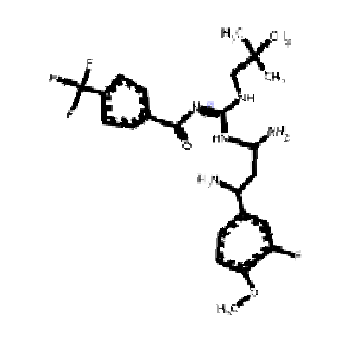 COc1ccc(C(N)CC(N)N/C(=N\C(=O)c2ccc(C(F)(F)F)cc2)NCC(C)(C)C)cc1F